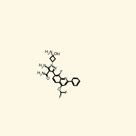 NC(=O)c1c(-c2ccc3c(OC(F)F)cc(-c4ccccc4)nc3c2F)nn([C@H]2C[C@@](N)(O)C2)c1N